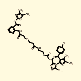 Cc1nc(NC(=O)c2ccccc2NC(=O)CCOCCC(=O)NCCNC(=O)C[C@@H]2N=C(c3ccc(Cl)cc3)c3c(sc(C)c3C)-n3c(C)nnc32)sc1C